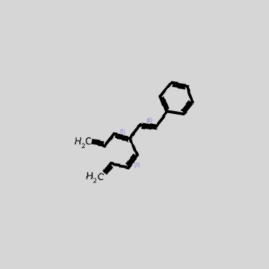 C=C\C=C/C(/C=C/c1ccccc1)=C\C=C